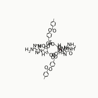 CO[C@H]1[C@H]2OP(=O)(OCc3ccc(OC(=O)c4ccc(C)cc4)cc3)OCC34C[C@@H]3[C@@H](n3cnc5c(N)ncnc53)[C@H](O)[C@@H]4O[P@@](=O)(SCc3ccc(OC(=O)c4ccc(C)cc4)cc3)OC[C@H]1O[C@H]2n1cnc2c(=O)[nH]c(N)nc21